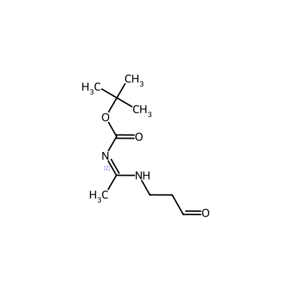 C/C(=N/C(=O)OC(C)(C)C)NCCC=O